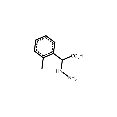 Cc1ccccc1C(NN)C(=O)O